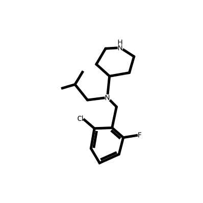 CC(C)CN(Cc1c(F)cccc1Cl)C1CCNCC1